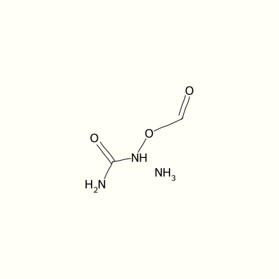 N.NC(=O)NOC=O